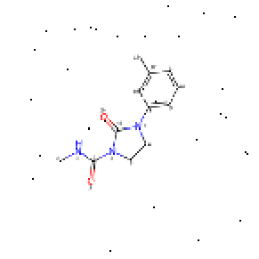 CNC(=O)N1CCN(c2cccc(C)c2)C1=O